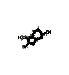 Cn1c(Br)cc2cc(C#N)ccc21